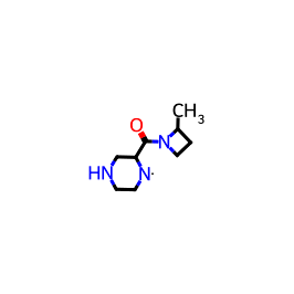 CC1CCN1C(=O)C1CNCC[N]1